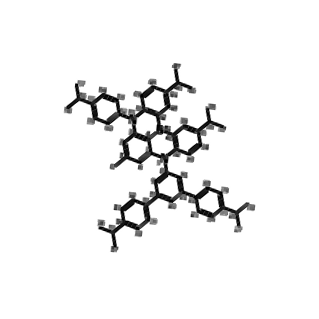 Cc1cc2c3c(c1)N(c1cc(-c4ccc(C(C)C)cc4)cc(-c4ccc(C(C)C)cc4)c1)c1ccc(C(C)C)cc1B3c1cc(C(C)C)ccc1N2c1ccc(C(C)C)cc1